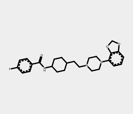 O=C(NC1CCC(CCN2CCN(c3cccc4c3OCO4)CC2)CC1)c1ccc(F)cc1